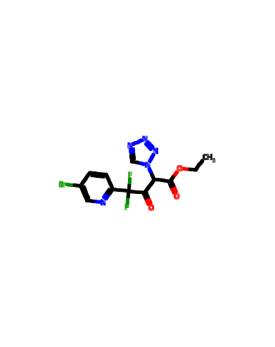 CCOC(=O)C(C(=O)C(F)(F)c1ccc(Br)cn1)n1cnnn1